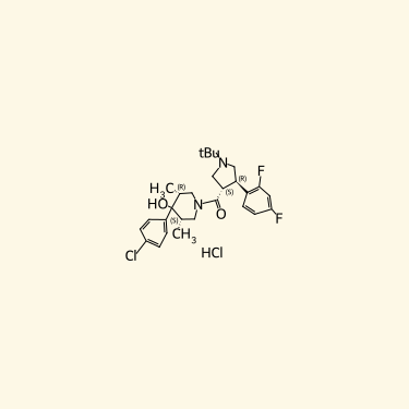 C[C@@H]1CN(C(=O)[C@@H]2CN(C(C)(C)C)C[C@H]2c2ccc(F)cc2F)C[C@H](C)C1(O)c1ccc(Cl)cc1.Cl